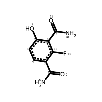 NC(=O)c1ccc(O)c(C(N)=O)c1F